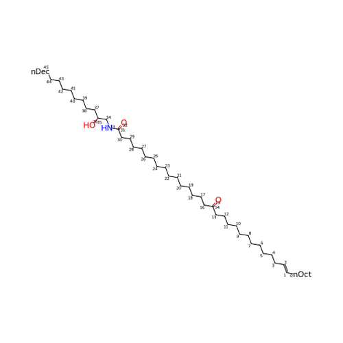 CCCCCCCCC=CCCCCCCCCCCCC(=O)CCCCCCCCCCCCCCCC(=O)NC[C@@H](O)CCCCCCCCCCCCCCCCCC